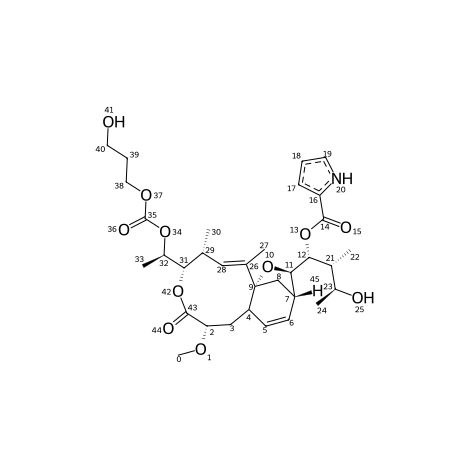 CO[C@H]1CC2C=C[C@@H]3C[C@]2(O[C@H]3[C@H](OC(=O)c2ccc[nH]2)[C@H](C)[C@H](C)O)/C(C)=C/[C@@H](C)[C@@H]([C@@H](C)OC(=O)OCCCO)OC1=O